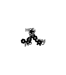 Cc1c(Cc2ccc(F)c(C(=O)N3CCN([C@@H](c4ccccc4)C(F)F)C(=O)C3)c2)n[nH]c(=O)c1C.O=C(O)C(F)(F)F